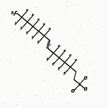 FC(F)(F)C(F)(F)C(F)(F)C(F)(F)C(F)(F)C(F)(F)/C=C/C(F)(F)C(F)(F)C(F)(F)C(F)(F)CC[Si](Cl)(Cl)Cl